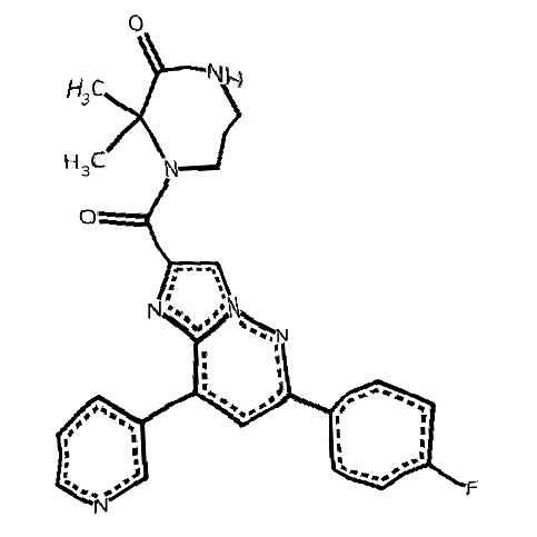 CC1(C)C(=O)NCCN1C(=O)c1cn2nc(-c3ccc(F)cc3)cc(-c3cccnc3)c2n1